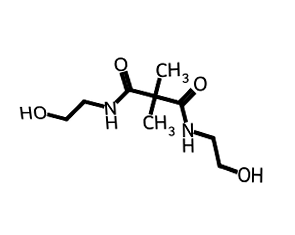 CC(C)(C(=O)NCCO)C(=O)NCCO